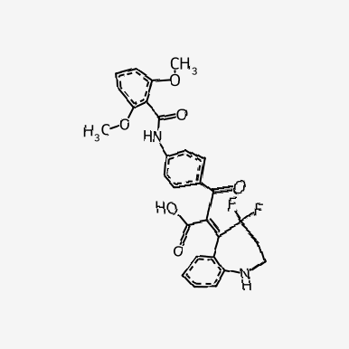 COc1cccc(OC)c1C(=O)Nc1ccc(C(=O)C(C(=O)O)=C2c3ccccc3NCCC2(F)F)cc1